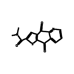 CN(C)C(=O)c1cc2c(s1)C(=O)c1cccnc1C2=O